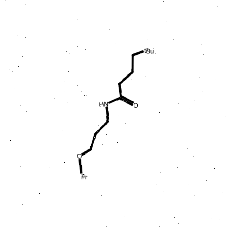 CC(C)OCCCNC(=O)CCCC(C)(C)C